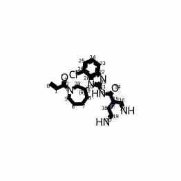 C=CC(=O)N1CCCC[C@@H](n2c(NC(=O)/C(C=N)=C/C=N)nc3cccc(Cl)c32)C1